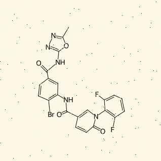 Cc1nnc(NC(=O)c2ccc(Br)c(NC(=O)c3ccc(=O)n(-c4c(F)cccc4F)c3)c2)o1